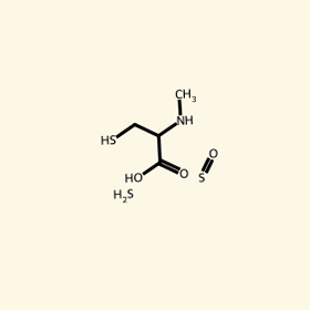 CNC(CS)C(=O)O.O=S.S